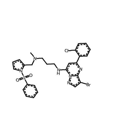 CN(CCCNc1cc(-c2ccccc2Cl)nc2c(Br)cnn12)Cc1cccn1S(=O)(=O)c1ccccc1